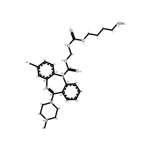 CCCCCCCCCCCCCCOC(=O)OCOC(=O)N1c2ccc(I)cc2N=C(N2CCN(C)CC2)c2ccccc21